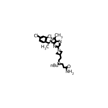 CCCCN(CCC(N)=O)CCC1CN(c2cnc3c(C)nn([C@H](C)c4ccc(Cl)cc4Cl)c3n2)C1